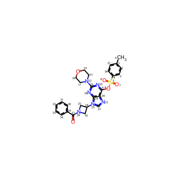 Cc1ccc(S(=O)(=O)Oc2nc(N3CCOCC3)nc3c2ncn3C2CN(C(=O)c3ccccc3)C2)cc1